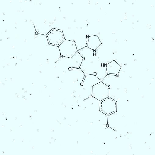 COc1ccc2c(c1)N(C)CC(OC(=O)C(=O)OC1(C3=NCCN3)CN(C)c3cc(OC)ccc3S1)(C1=NCCN1)S2